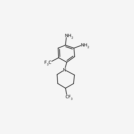 Nc1cc(N2CCC(C(F)(F)F)CC2)c(C(F)(F)F)cc1N